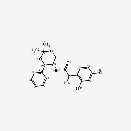 CC1(C)OC[C@H](NC(=O)N(S)c2ccc(Cl)cc2Cl)[C@@H](c2ccccc2)O1